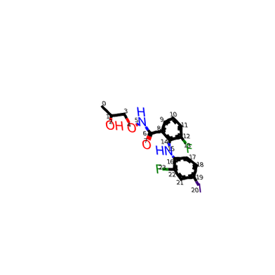 CC(O)CONC(=O)c1cccc(F)c1Nc1ccc(I)cc1F